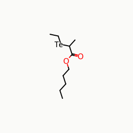 CCCCCOC(=O)C(C)[Te]CC